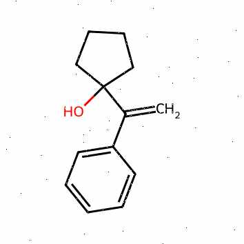 C=C(c1ccccc1)C1(O)CCCC1